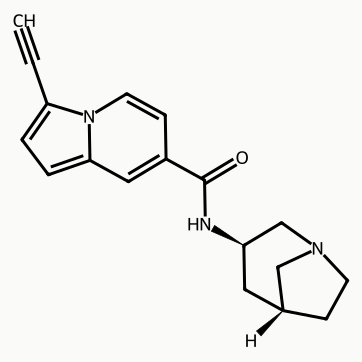 C#Cc1ccc2cc(C(=O)N[C@@H]3C[C@H]4CCN(C4)C3)ccn12